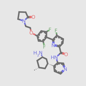 C[C@@H]1C[C@@H](N)C[C@H](c2ccncc2NC(=O)c2ccc(F)c(-c3c(F)cc(OCCN4CCCC4=O)cc3F)n2)C1